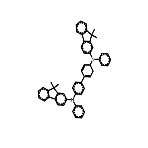 CC1(C)c2ccccc2-c2ccc(N(c3ccccc3)c3ccc(C4=CCC(N(c5ccccc5)c5ccc6c(c5)C(C)(C)c5ccccc5-6)C=C4)cc3)cc21